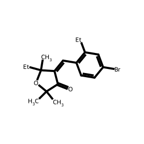 CCc1cc(Br)ccc1C=C1C(=O)C(C)(C)OC1(C)CC